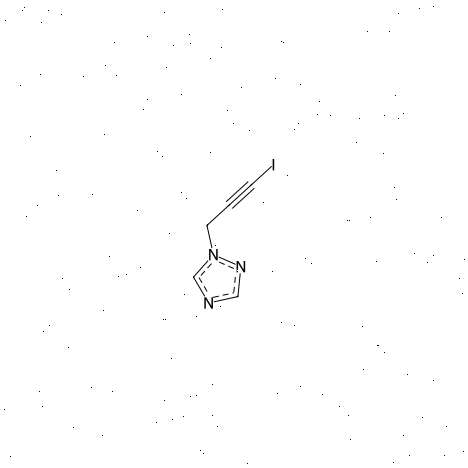 IC#CCn1cncn1